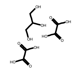 O=C(O)C(=O)O.O=C(O)C(=O)O.OCC(O)CO